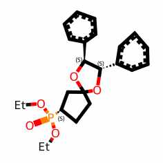 CCOP(=O)(OCC)[C@H]1CCC2(C1)O[C@@H](c1ccccc1)[C@H](c1ccccc1)O2